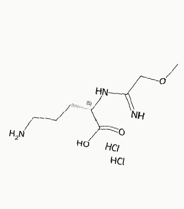 COCC(=N)N[C@@H](CCCN)C(=O)O.Cl.Cl